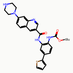 CC(C)(C)OC(=O)Nc1ccc(-c2cccs2)cc1NC(=O)c1cnc2cc(N3CCNCC3)ccc2c1